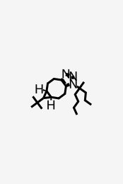 CCCCC(C)(CCC)n1nnc2c1CC[C@@H]1C(C(C)(C)C)[C@@H]1CC2